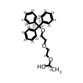 CC(O)OCCOCCOC(c1ccccc1)(c1ccccc1)c1ccccc1